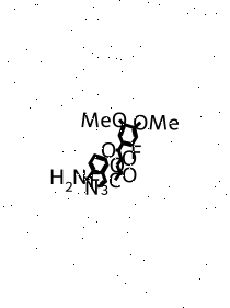 COc1cc(F)c(C(Oc2ccc3c(N)nccc3c2)C(=O)OC(=O)C(F)(F)F)cc1OC